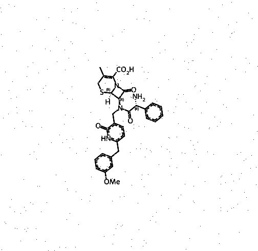 COc1cccc(Cc2ccc(CN(C(=O)[C@H](N)c3ccccc3)[C@@H]3C(=O)N4C(C(=O)O)=C(C)CS[C@H]34)c(=O)[nH]2)c1